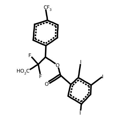 O=C(OC(c1ccc(C(F)(F)F)cc1)C(F)(F)C(=O)O)c1cc(I)cc(I)c1I